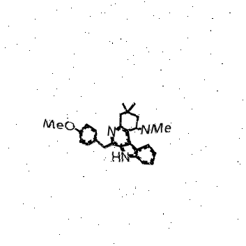 CNC1CC(C)(C)Cc2nc(Cc3ccc(OC)cc3)c3[nH]c4ccccc4c3c21